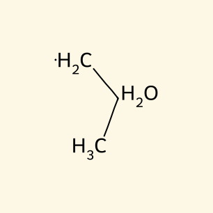 O.[CH2]CC